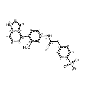 CCS(=O)(=O)c1ccc(CC(=O)Nc2ccc(-c3cccc4[nH]ccc34)c(C)c2)cc1